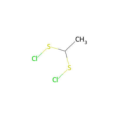 CC(SCl)SCl